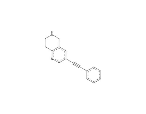 C(#Cc1cnc2c(c1)CNCC2)c1ccccc1